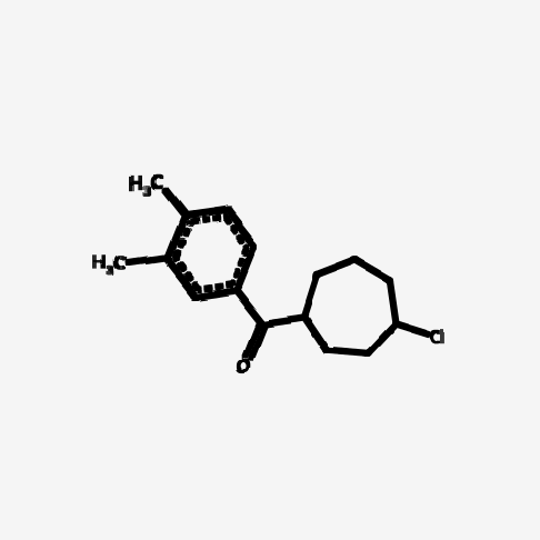 Cc1ccc(C(=O)C2CCCC(Cl)CC2)cc1C